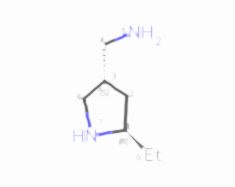 CC[C@@H]1C[C@@H](CN)CN1